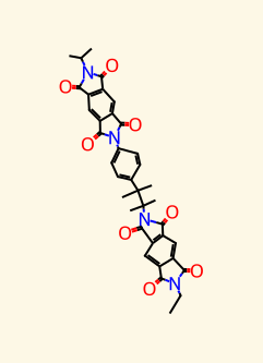 CCn1c(=O)c2cc3c(=O)n(C(C)(C)C(C)(C)c4ccc(-n5c(=O)c6cc7c(=O)n(C(C)C)c(=O)c7cc6c5=O)cc4)c(=O)c3cc2c1=O